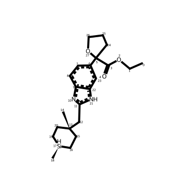 CCOC(=O)C1(c2ccc3nc(C[C@]4(C)CC[Si@@H](C)CC4)[nH]c3c2)CCCO1